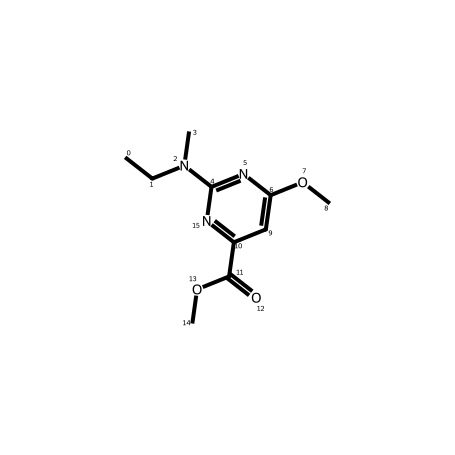 CCN(C)c1nc(OC)cc(C(=O)OC)n1